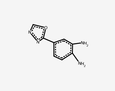 Nc1ccc(-c2nnco2)cc1N